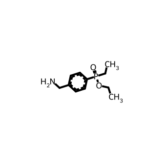 CCOP(=O)(CC)c1ccc(CN)cc1